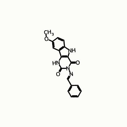 COc1ccc2[nH]c3c(=O)n(N=Cc4ccccc4)c(=O)[nH]c3c2c1